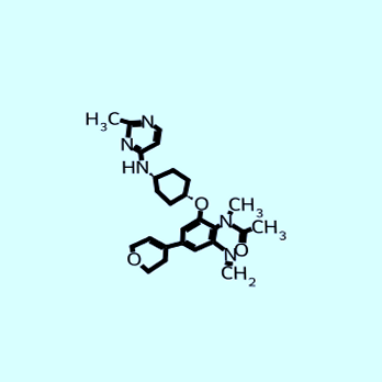 C=Nc1cc(C2=CCOCC2)cc(O[C@H]2CC[C@@H](Nc3ccnc(C)n3)CC2)c1N(C)C(C)=O